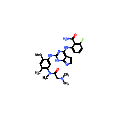 COc1cc(C)c(N(C)C(=O)CN(C)C)cc1Nc1nc(Nc2cccc(F)c2C(N)=O)c2ccnc-2[nH]1